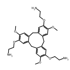 COc1cc2c(cc1OCCN)Cc1cc(OC)c(OCCN)cc1Cc1cc(OC)c(OCCN)cc1C2